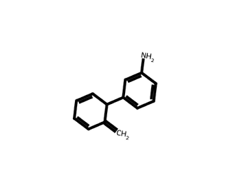 C=C1C=CC=CC1c1cccc(N)c1